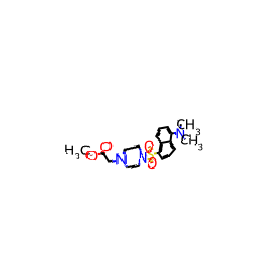 COC(=O)CN1CCN(S(=O)(=O)c2cccc3c(N(C)C)cccc23)CC1